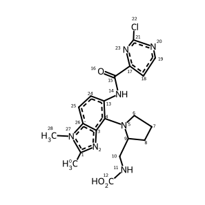 Cc1nc2c(N3CCCC3CNC(=O)O)c(NC(=O)c3ccnc(Cl)n3)ccc2n1C